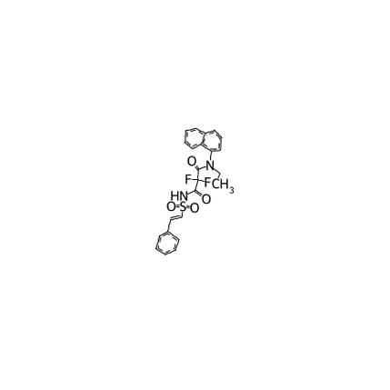 CCN(C(=O)C(F)(F)C(=O)NS(=O)(=O)/C=C/c1ccccc1)c1cccc2ccccc12